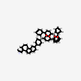 C/C=C\c1c(C)ccc2c1ccc1ccc(-c3ccc(N(c4ccc(-c5ccccc5)cc4)c4ccccc4-c4ccc(-n5c6ccccc6c6ccccc65)cc4)cc3)cc12